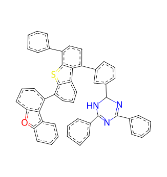 c1ccc(C2=NC(c3cccc(-c4ccc(-c5ccccc5)c5sc6c(-c7cccc8oc9ccccc9c78)cccc6c45)c3)NC(c3ccccc3)=N2)cc1